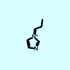 CCC=[N+]1C=CN=C1